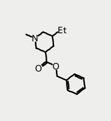 CCC1CC(C(=O)OCc2ccccc2)CN(C)C1